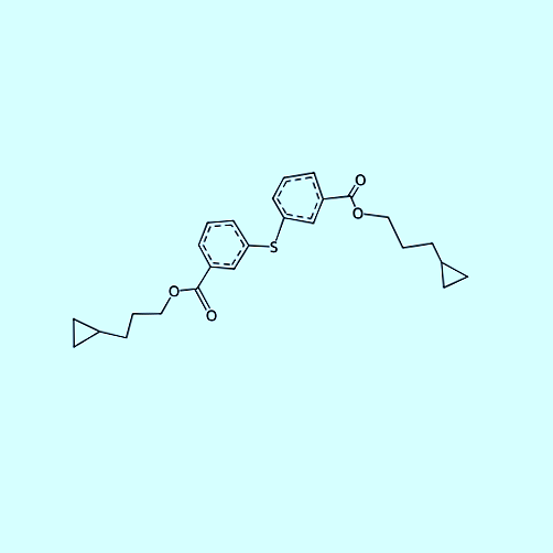 O=C(OCCCC1CC1)c1cccc(Sc2cccc(C(=O)OCCCC3CC3)c2)c1